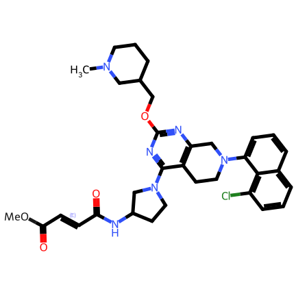 COC(=O)/C=C/C(=O)NC1CCN(c2nc(OCC3CCCN(C)C3)nc3c2CCN(c2cccc4cccc(Cl)c24)C3)C1